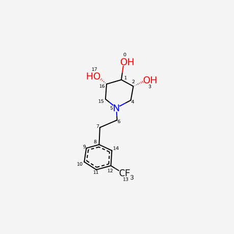 OC1[C@H](O)CN(CCc2cccc(C(F)(F)F)c2)C[C@@H]1O